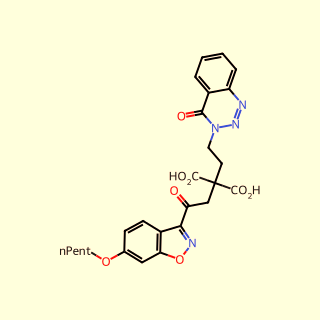 CCCCCOc1ccc2c(C(=O)CC(CCn3nnc4ccccc4c3=O)(C(=O)O)C(=O)O)noc2c1